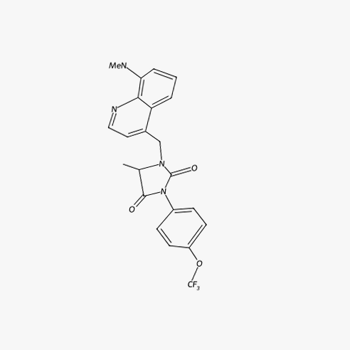 CNc1cccc2c(CN3C(=O)N(c4ccc(OC(F)(F)F)cc4)C(=O)C3C)ccnc12